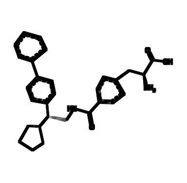 N[C@@H](Cc1ccc(C(=O)NC[C@@H](c2ccc(-c3ccccc3)cc2)C2CCCC2)cc1)C(=O)O